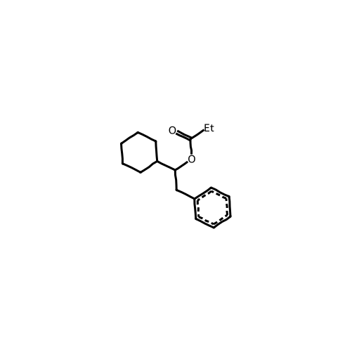 CCC(=O)OC(Cc1ccccc1)C1CCCCC1